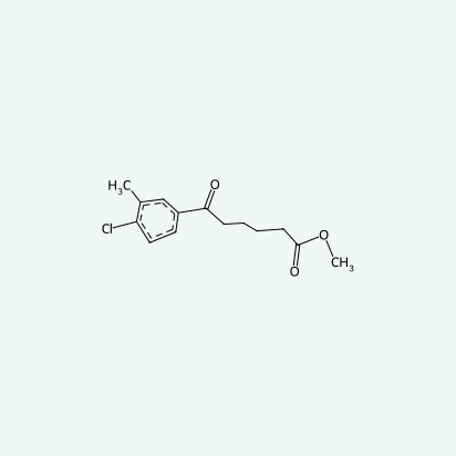 COC(=O)CCCCC(=O)c1ccc(Cl)c(C)c1